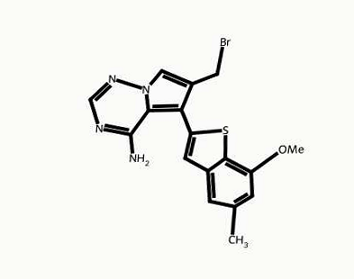 COc1cc(C)cc2cc(-c3c(CBr)cn4ncnc(N)c34)sc12